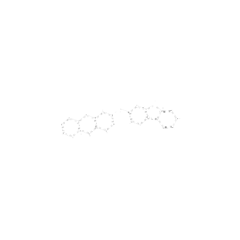 c1ccc2cc3cc(Nc4ccc5c(c4)oc4ccccc45)ccc3cc2c1